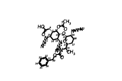 CC(=O)O[C@H]1[C@@H](CC(=O)O)[C@H](N=[N+]=[N-])C[C@H](N=[N+]=[N-])[C@H]1O[C@H]1O[C@H]([C@@H](C)NC(=O)OCc2ccccc2)CC[C@H]1N=[N+]=[N-]